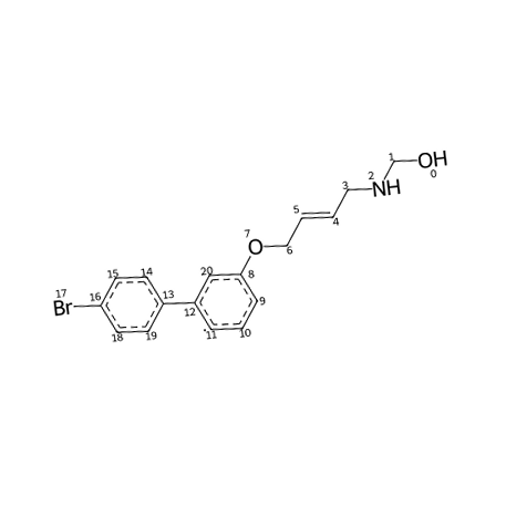 OCNC/C=C/COc1cc[c]c(-c2ccc(Br)cc2)c1